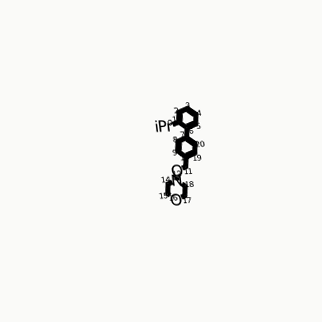 CC(C)c1ccccc1-c1ccc(CON2CCOCC2)cc1